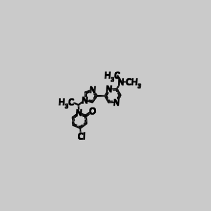 CC(n1cnc(-c2cncc(N(C)C)n2)c1)n1ccc(Cl)cc1=O